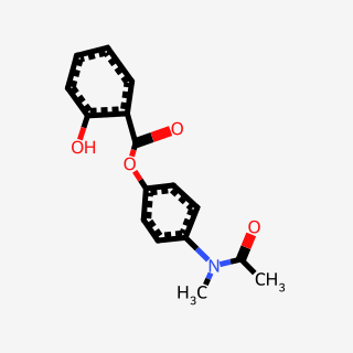 CC(=O)N(C)c1ccc(OC(=O)c2ccccc2O)cc1